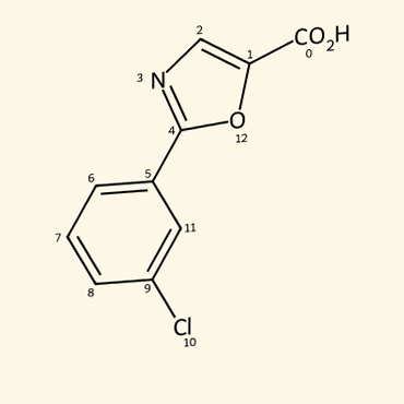 O=C(O)c1cnc(-c2cccc(Cl)c2)o1